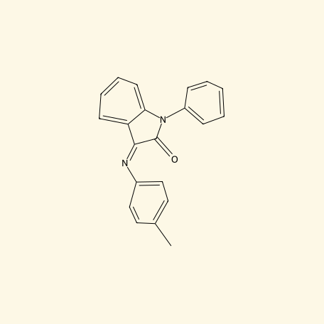 Cc1ccc(N=C2C(=O)N(c3ccccc3)c3ccccc32)cc1